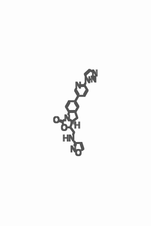 O=C1OC(CNc2ccon2)[C@@H]2Cc3cc(-c4ccc(-n5ccnn5)nc4)ccc3N12